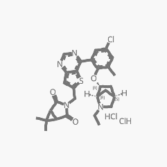 CCN1C[C@H]2C[C@@H]1[C@H](Oc1c(C)cc(Cl)cc1-c1ncnc3cc(CN4C(=O)C5C(C4=O)C5(C)C)sc13)C2.Cl.Cl